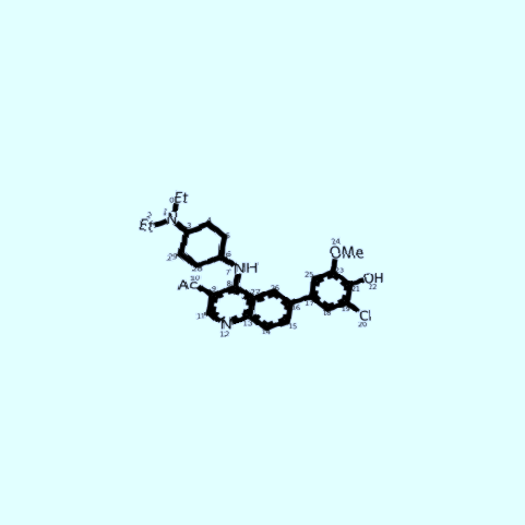 CCN(CC)C1CCC(Nc2c(C(C)=O)cnc3ccc(-c4cc(Cl)c(O)c(OC)c4)cc23)CC1